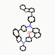 c1ccc(-c2ccc(N(c3ccc(-c4cccc5c4sc4ccccc45)cc3)c3ccc4cccc5c4c3Oc3cc(N(c4ccccc4)c4ccccc4)ccc3-5)cc2)cc1